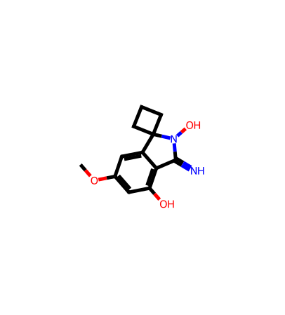 COc1cc(O)c2c(c1)C1(CCC1)N(O)C2=N